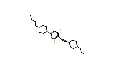 CCCCC1CCC(c2cc(F)c(C#CC3CCC(CCC)CC3)c(F)c2)CC1